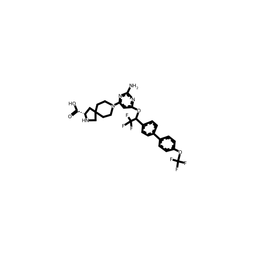 Nc1nc(OC(c2ccc(-c3ccc(OC(F)(F)F)cc3)cc2)C(F)(F)F)cc(N2CCC3(CC2)CN[C@H](C(=O)O)C3)n1